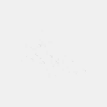 CCCn1c(=O)c2[nH]c(C3(NS(=O)(=O)c4ccc(C)cc4)CCCC3)nc2n(CCC)c1=O